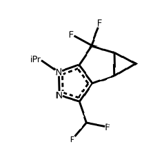 CC(C)n1nc(C(F)F)c2c1C(F)(F)C1CC21